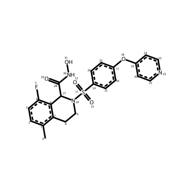 Cc1ccc(F)c2c1CCN(S(=O)(=O)c1ccc(Oc3ccncc3)cc1)C2C(=O)NO